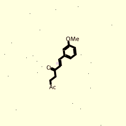 COc1cccc(/C=C/C(=O)CCC(C)=O)c1